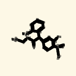 CCOC(=O)C(c1ccc([N+](=O)[O-])c(F)c1)c1ccccc1C